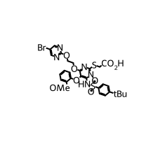 COc1ccccc1Oc1c(NS(=O)(=O)c2ccc(C(C)(C)C)cc2)nc(SCC(=O)O)nc1OCCOc1ncc(Br)cn1